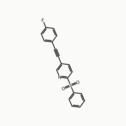 O=S(=O)(c1ccccc1)c1ccc(C#Cc2ccc(F)cc2)cn1